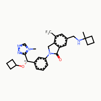 Cn1cnnc1[C@@H](OC1CCC1)c1cccc(N2Cc3c(cc(CNC4(C)CCC4)cc3C(F)(F)F)C2=O)c1